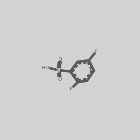 O=S(=O)(O)c1cc(F)ccc1F